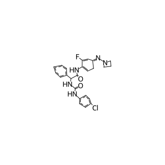 O=C(Nc1ccc(Cl)cc1)NC(C(=O)NC1=CCC(=NN2CCC2)C=C1F)c1ccccc1